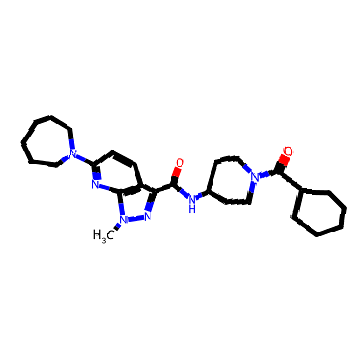 Cn1nc(C(=O)NC2CCN(C(=O)C3CCCCC3)CC2)c2ccc(N3CCCCCC3)nc21